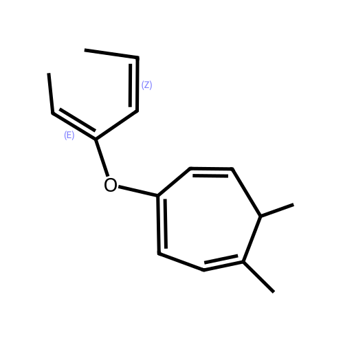 C/C=C\C(=C/C)OC1=CC=C(C)C(C)C=C1